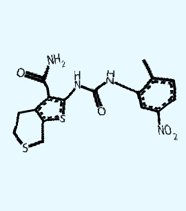 Cc1ccc([N+](=O)[O-])cc1NC(=O)Nc1sc2c(c1C(N)=O)CCSC2